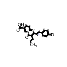 CCCc1c(/C=C/c2ccc(Cl)cc2)nc2ccc(C(=O)O)cn2c1=O